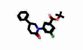 CC(C)(C)OC(=O)c1cc(Br)cc(N2CC(c3ccccc3)CCC2=O)c1